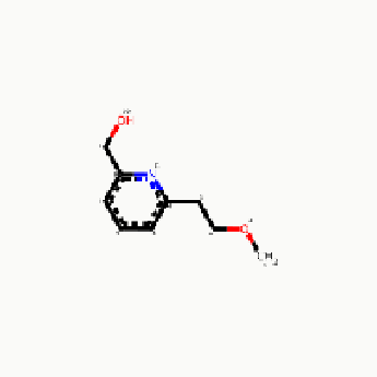 COCCc1cccc(CO)n1